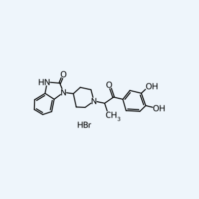 Br.CC(C(=O)c1ccc(O)c(O)c1)N1CCC(n2c(=O)[nH]c3ccccc32)CC1